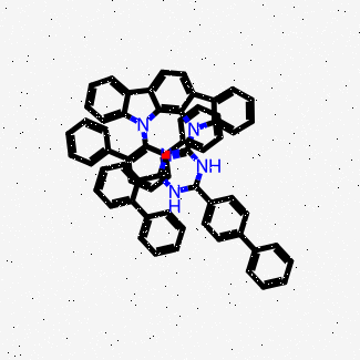 c1ccc(-c2ccc(C3NC(n4c5ccccc5c5ccc6c7ccccc7n(-c7c(-c8ccccc8)cccc7-c7ccccc7)c6c54)=NC(c4ccccc4-c4ccccc4)N3)cc2)cc1